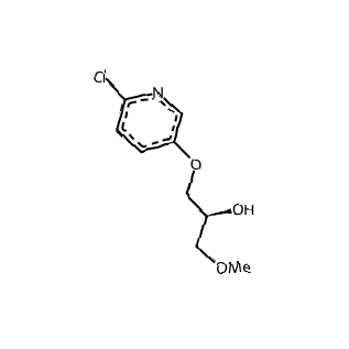 COC[C@H](O)COc1ccc(Cl)nc1